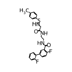 Cc1ccc(SNCC(=O)NCCNC(=O)c2cc(-c3ccccc3F)ccc2F)cc1